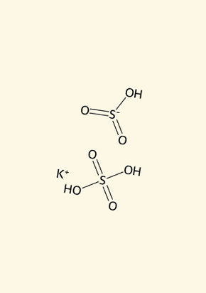 O=S(=O)(O)O.O=[S-](=O)O.[K+]